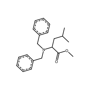 COC(=O)C(CC(C)C)N(Cc1ccccc1)Cc1ccccc1